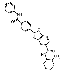 CC1CCCCC1NC(=O)c1ccc2[nH]c(-c3ccc(C(=O)Nc4ccncc4)cc3)nc2c1